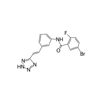 O=C(Nc1cccc(/C=C/c2nn[nH]n2)c1)c1cc(Br)ccc1F